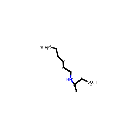 CCCCCCCCCCCCNC(C)CS(=O)(=O)O